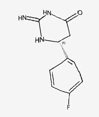 N=C1NC(=O)C[C@H](c2ccc(F)cc2)N1